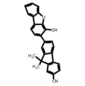 CC1(C)c2cc(C#N)ccc2-c2ccc(-c3ccc4c(oc5ccccc54)c3O)cc21